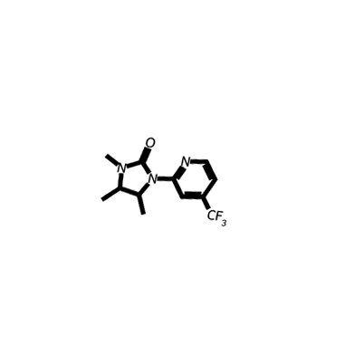 CC1C(C)N(c2cc(C(F)(F)F)ccn2)C(=O)N1C